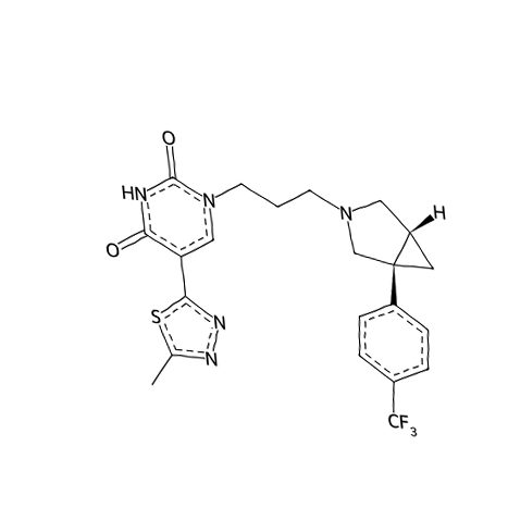 Cc1nnc(-c2cn(CCCN3C[C@@H]4C[C@]4(c4ccc(C(F)(F)F)cc4)C3)c(=O)[nH]c2=O)s1